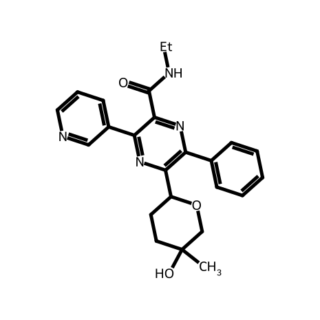 CCNC(=O)c1nc(-c2ccccc2)c(C2CCC(C)(O)CO2)nc1-c1cccnc1